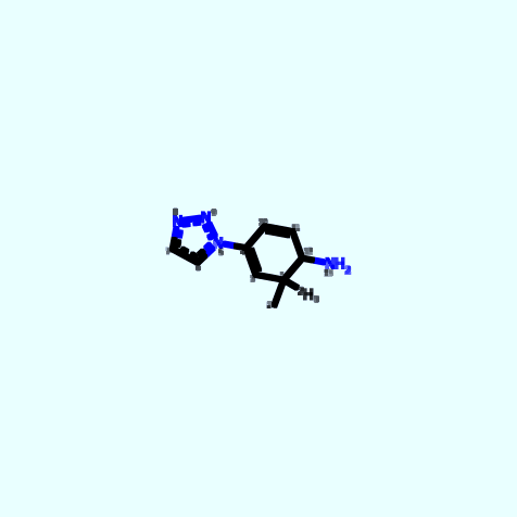 [2H]C1(C)C=C(n2ccnn2)C=CC1N